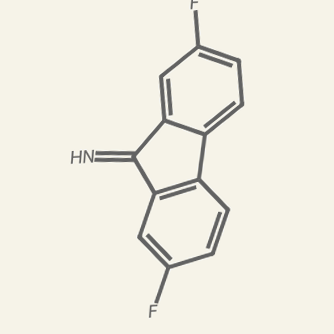 N=C1c2cc(F)ccc2-c2ccc(F)cc21